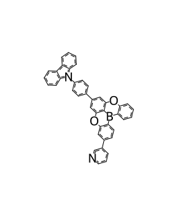 c1cncc(-c2ccc3c(c2)Oc2cc(-c4ccc(-n5c6ccccc6c6ccccc65)cc4)cc4c2B3c2ccccc2O4)c1